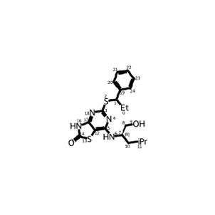 CCC(Sc1nc(N[C@@H](CO)CC(C)C)c2sc(=O)[nH]c2n1)c1ccccc1